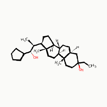 CC[C@]1(O)CC[C@@]2(C)[C@@H](CC[C@@H]3[C@@H]2CC[C@]2(C)[C@@H]([C@H](C)[C@H](O)C4CCCC4)CC[C@@H]32)C1